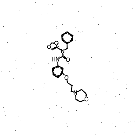 O=C(Nc1cccc(OCCCN2CCOCC2)c1)N(Cc1ccccc1)C1=COCO1